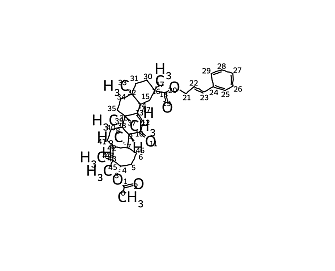 CC(=O)O[C@H]1CC[C@]2(C)[C@H]3C(=O)C=C4[C@@H]5C[C@@](C)(C(=O)OC/C=C/c6ccccc6)CC[C@]5(C)CC[C@@]4(C)[C@]3(C)CC[C@H]2C1(C)C